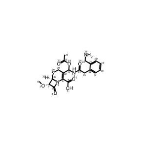 CO[C@H]1C(=O)N2C(C(=O)O)=C(C(NC(=O)Cc3ccccc3CN)OC(C)=O)CS[C@H]12